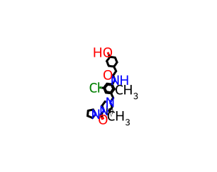 Cc1c(CN2CCN(C(=O)N3CCCC3)[C@@H](C)C2)cc(Cl)cc1NC(=O)CC1CCC(O)CC1